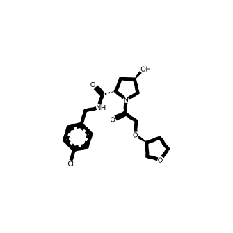 O=C(NCc1ccc(Cl)cc1)[C@@H]1C[C@@H](O)CN1C(=O)CO[C@H]1CCOC1